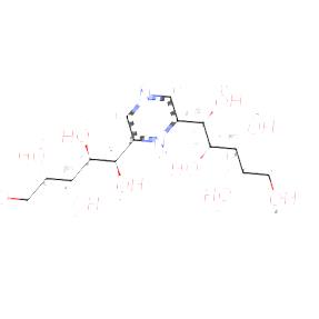 OC[C@H](O)[C@@H](O)[C@@H](O)[C@H](O)c1cncc([C@@H](O)[C@H](O)[C@H](O)[C@@H](O)CO)n1